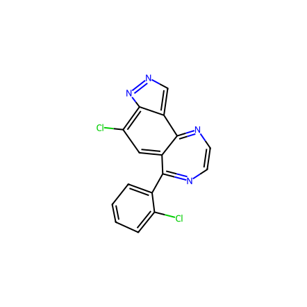 Clc1ccccc1-c1nccnc2c1cc(Cl)c1nncc12